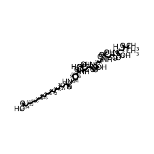 CC(C)C(=O)CC[C@H](NC(=O)CCC(NC(=O)CC[C@H](NC(=O)CCC(NC(=O)[C@H]1CC[C@@H](CNC(=O)CCCCCCCCCCCCCCCCCCC(=O)O)CC1)C(O)O)C(=O)O)C(=O)O)C(=O)O